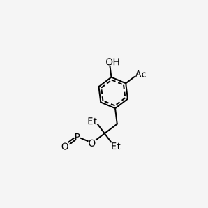 CCC(CC)(Cc1ccc(O)c(C(C)=O)c1)OP=O